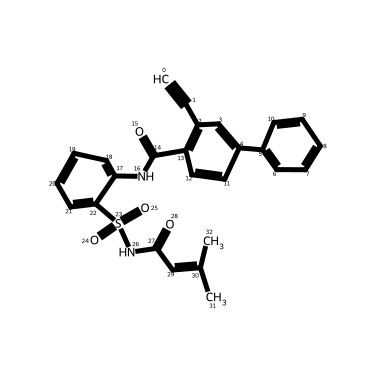 C#Cc1cc(-c2ccccc2)ccc1C(=O)Nc1ccccc1S(=O)(=O)NC(=O)C=C(C)C